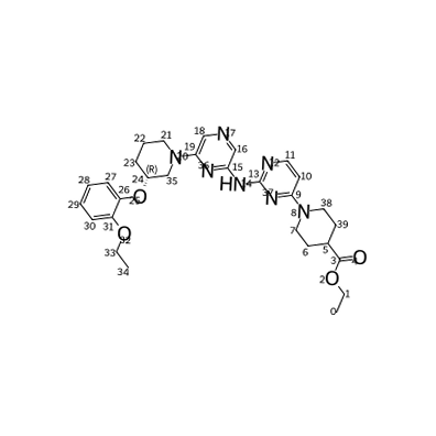 CCOC(=O)C1CCN(c2ccnc(Nc3cncc(N4CCC[C@@H](Oc5ccccc5OCC)C4)n3)n2)CC1